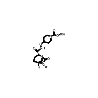 CC(C)(C)OC(=O)N1CCC(ONC(=O)[C@@H]2CC[C@@H]3CN2C(=O)N3O)CC1